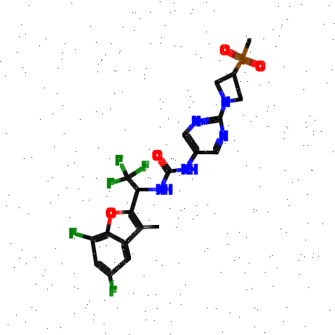 Cc1c(C(NC(=O)Nc2cnc(N3CC(S(C)(=O)=O)C3)nc2)C(F)(F)F)oc2c(F)cc(F)cc12